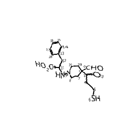 O=CC1(C(=O)CCS)CCN(NC(Cc2ccccc2)C(=O)O)CC1